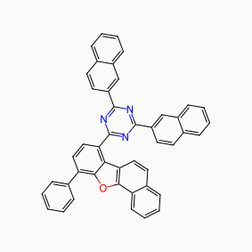 c1ccc(-c2ccc(-c3nc(-c4ccc5ccccc5c4)nc(-c4ccc5ccccc5c4)n3)c3c2oc2c4ccccc4ccc23)cc1